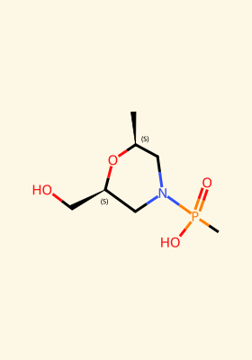 C[C@H]1CN(P(C)(=O)O)C[C@@H](CO)O1